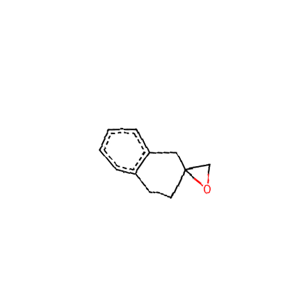 c1ccc2c(c1)CCC1(CO1)C2